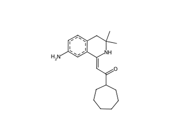 CC1(C)Cc2ccc(N)cc2C(=CC(=O)C2CCCCCC2)N1